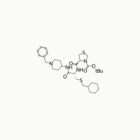 CC(C)(C)OC(=O)N1CSC[C@@H]1C(=O)N[C@H](CSCC1CCCCC1)C(=O)NC1CCN(Cc2ccccc2)CC1